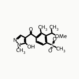 COC(C)c1c(S(C)(=O)=O)ccc(C(=O)c2cnn(C)c2O)c1C